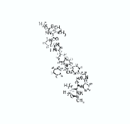 COC(=O)N[C@H](C(=O)N1CCC[C@H]1c1ncc(-c2ccc3c(c2)cc2n3C(c3ccccc3)Oc3cc(-c4cnc(C5CCCN5C(=O)[C@@H](NC(C)=O)C(C)C)[nH]4)ccc3-2)[nH]1)C(C)C